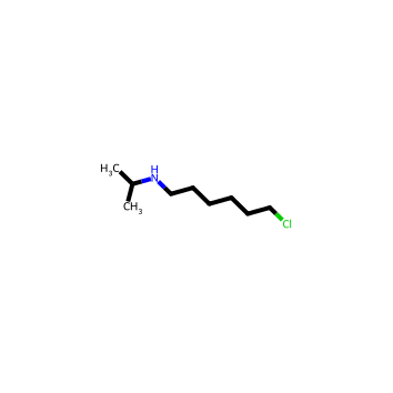 CC(C)NCCCCCCCl